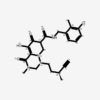 C#C[C@@H](C)CCN1CN(C)C(=O)C2=C(O)C(=O)C(C(=O)NCc3cccc(Cl)c3C)CN21